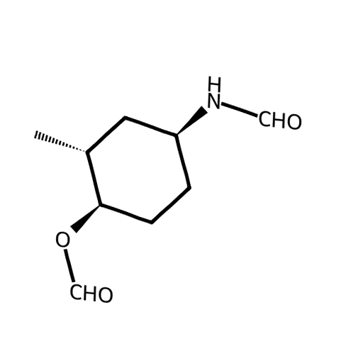 C[C@@H]1C[C@@H](NC=O)CC[C@H]1OC=O